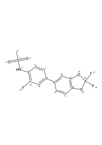 CS(=O)(=O)Nc1ccc(-c2ccc3c(c2)OC(F)(F)O3)cc1F